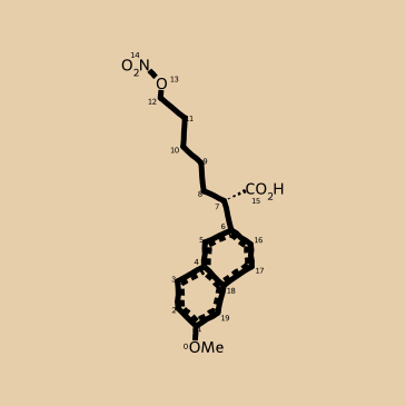 COc1ccc2cc([C@H](CCCCCO[N+](=O)[O-])C(=O)O)ccc2c1